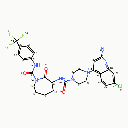 Nc1cc(N2CCN(C(=O)NC3CCCCN(C(=O)Nc4ccc(C(F)(F)F)cc4)C3=O)CC2)c2ccc(Cl)cc2n1